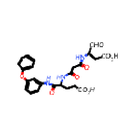 O=CC(CC(=O)O)NC(=O)CC(=O)NC(CCC(=O)O)C(=O)Nc1cccc(Oc2ccccc2)c1